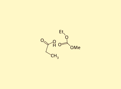 CCC(=O)O.CCOC(=O)OC